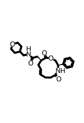 O=C(C[C@@H]1C/C=C/CCC(=O)N[C@H](c2ccccc2)COC1=O)NCC1CCOCC1